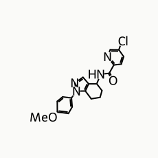 COc1ccc(-n2ncc3c2CCCC3NC(=O)c2ccc(Cl)cn2)cc1